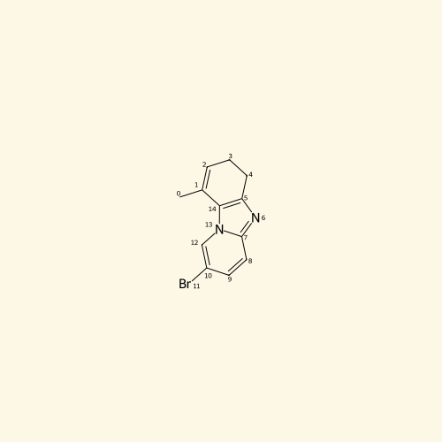 CC1=CCCc2nc3ccc(Br)cn3c21